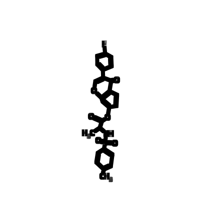 Cc1ccc(S(=O)(=O)NC(C)C(=O)Oc2ccc3c(=O)c(-c4ccc(F)cc4)coc3c2)cc1